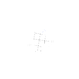 CC(C)(C)C1(C(C)(C)C)CC[C@H]1N